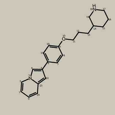 c1ccn2cc(-c3ccc(OCCCC4CCCNC4)cc3)cc2c1